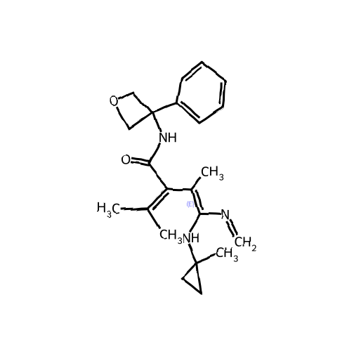 C=N/C(NC1(C)CC1)=C(\C)C(C(=O)NC1(c2ccccc2)COC1)=C(C)C